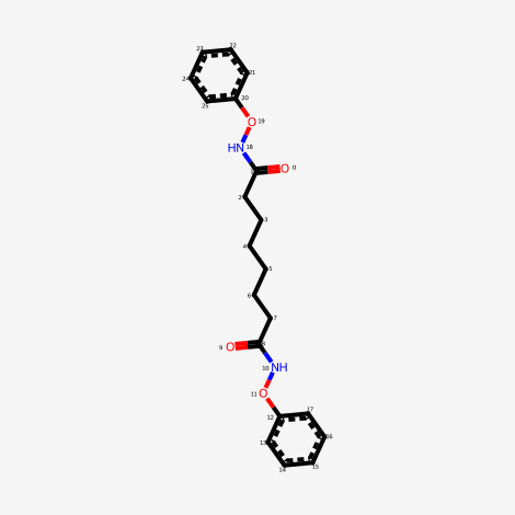 O=C(CCCCCCC(=O)NOc1ccccc1)NOc1ccccc1